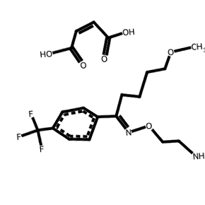 COCCCC/C(=N\OCCN)c1ccc(C(F)(F)F)cc1.O=C(O)/C=C\C(=O)O